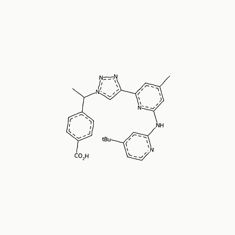 Cc1cc(Nc2cc(C(C)(C)C)ccn2)nc(-c2cn(C(C)c3ccc(C(=O)O)cc3)nn2)c1